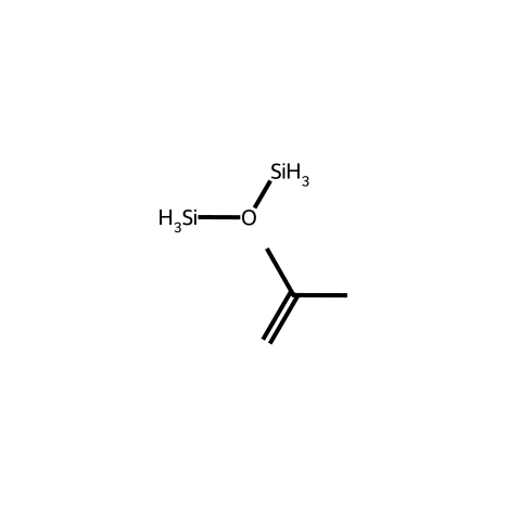 C=C(C)C.[SiH3]O[SiH3]